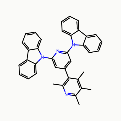 Cc1nc(C)c(-c2cc(-n3c4ccccc4c4ccccc43)nc(-n3c4ccccc4c4ccccc43)c2)c(C)c1C